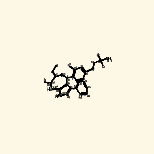 CCC1S[C@@H](c2ccc(CCC(C)(C)N)cc2C)c2c(-c3ccccn3)n[nH]c2N[C@H]1C